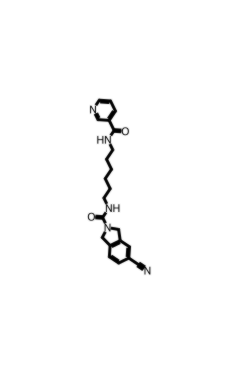 N#Cc1ccc2c(c1)CN(C(=O)NCCCCCCNC(=O)c1cccnc1)C2